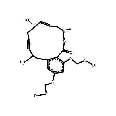 CCOCOc1cc2c(c(OCOCC)c1)C(=O)O[C@H](C)C/C=C/[C@@H](O)C/C=C/C(N)C2